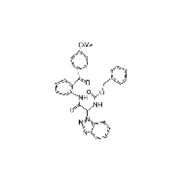 COc1ccc(C(=O)c2ccccc2NC(=O)C(NC(=O)OCc2ccccc2)n2nnc3ccccc32)cc1